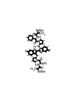 CCC[C@H](NC(=O)[C@H](C)NC)C(=O)N1CCC[C@H]1Cc1c(-c2nc3cc(F)ccc3n2C[C@@H]2CCCN2C(=O)[C@@H](NC(=O)[C@H](C)NC)C2CCCCC2)[nH]c2cc(F)ccc12